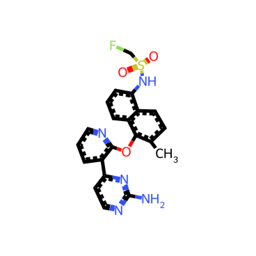 Cc1ccc2c(NS(=O)(=O)CF)cccc2c1Oc1ncccc1-c1ccnc(N)n1